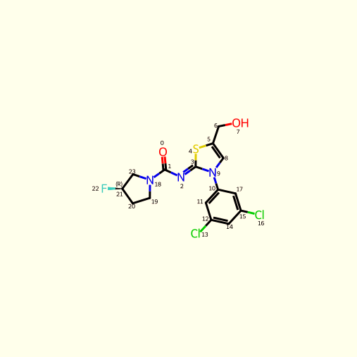 O=C(N=c1sc(CO)cn1-c1cc(Cl)cc(Cl)c1)N1CC[C@@H](F)C1